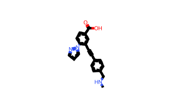 CNCc1ccc(C#Cc2cc(C(=O)O)ccc2-n2cccn2)cc1